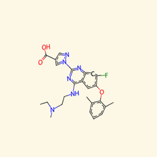 CCN(C)CCNc1nc(-n2cc(C(=O)O)cn2)nc2cc(F)c(Oc3c(C)cccc3C)cc12